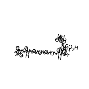 CC(C)C(NC(=O)CCOCCOCCOCCOCCNC(=O)CCN1C(=O)C=CC1=O)C(=O)N[C@@H](CCCNC(N)=O)C(=O)O